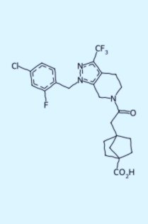 O=C(CC12CCC(C(=O)O)(CC1)C2)N1CCc2c(C(F)(F)F)nn(Cc3ccc(Cl)cc3F)c2C1